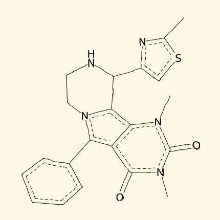 Cc1nc(C2NCCn3c(-c4ccccc4)c4c(=O)n(C)c(=O)n(C)c4c32)cs1